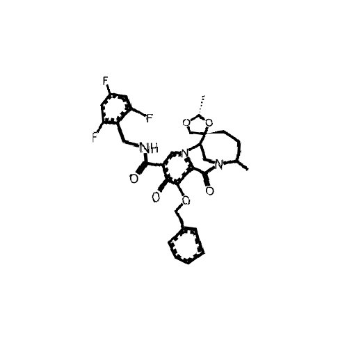 CC1CC[C@]2(CO[C@H](C)O2)C2CN1C(=O)c1c(OCc3ccccc3)c(=O)c(C(=O)NCc3c(F)cc(F)cc3F)cn12